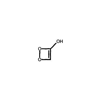 Oc1coo1